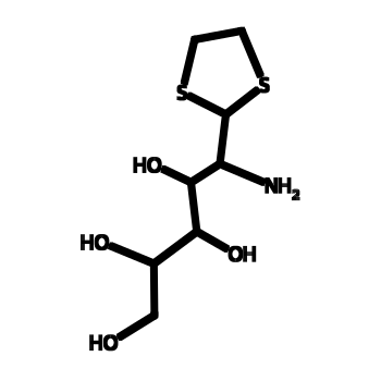 NC(C1SCCS1)C(O)C(O)C(O)CO